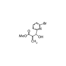 C=C(C(=O)OC)C(O)c1cccc(Br)n1